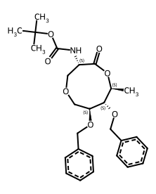 C[C@@H]1OC(=O)[C@@H](NC(=O)OC(C)(C)C)COC[C@H](OCc2ccccc2)[C@H]1OCc1ccccc1